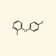 [CH2]c1ncccc1Oc1ccc(F)cc1